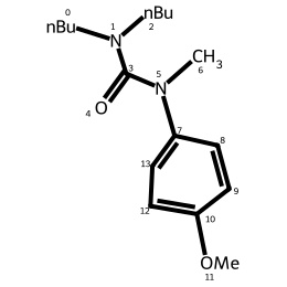 CCCCN(CCCC)C(=O)N(C)c1ccc(OC)cc1